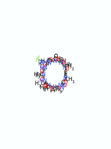 CCC(C)[C@@H]1NC(=O)[C@H](CC(C)C)N(C)C(=O)CCCN(C)C(=O)C[C@@H](C(=O)N2CCCCC2)NC(=O)[C@H](CC(C)C)N(C)C(=O)[C@H](CC(C)C)N(C)C(=O)[C@H]([C@@H](C)O)NC(=O)[C@H](CC(C)C)N(C)C(=O)[C@H](COC[C@@H]2CC(F)(F)CN2)NC(=O)[C@H](CC(C)C)N(C)C(=O)[C@H](Cc2ccccc2)N(C)C1=O